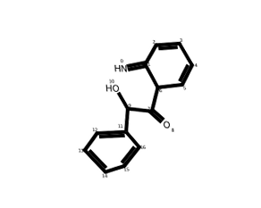 N=C1C=CC=CC1C(=O)C(O)c1ccccc1